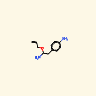 C=CCOC(N)Cc1ccc(N)cc1